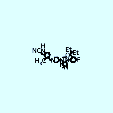 CCN(CC)C(=O)c1cc(F)ccc1N1CCN(C2CCN(Cc3ccc4[nH]c(C#N)cc4c3C)CC2)c2ncncc21